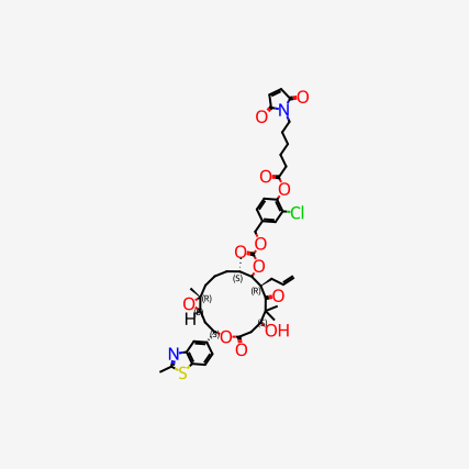 C=CC[C@H]1C(=O)C(C)(C)[C@@H](O)CC(=O)O[C@H](c2ccc3sc(C)nc3c2)C[C@@H]2O[C@]2(C)CCC[C@H](C)C1OC(=O)OCc1ccc(OC(=O)CCCCCN2C(=O)C=CC2=O)c(Cl)c1